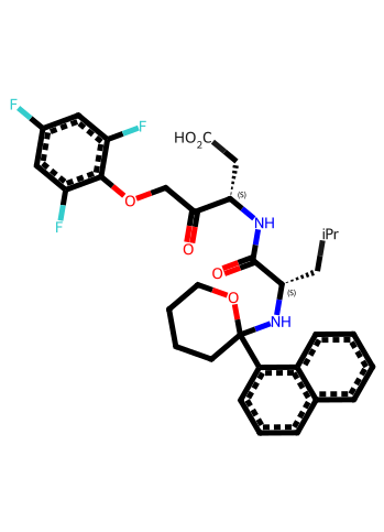 CC(C)C[C@H](NC1(c2cccc3ccccc23)CCCCO1)C(=O)N[C@@H](CC(=O)O)C(=O)COc1c(F)cc(F)cc1F